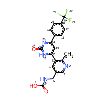 Cc1ncc(CNC(=O)O)cc1-c1cc(-c2ccc(C(F)(F)F)cc2)nc(=O)[nH]1